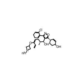 C=C/C(=C\C[C@H](C)[C@H](O)c1c(C2=CCCC=C2Cl)noc1[C@H]1C=CC(O)CC1)OC1CN(CCC)C1